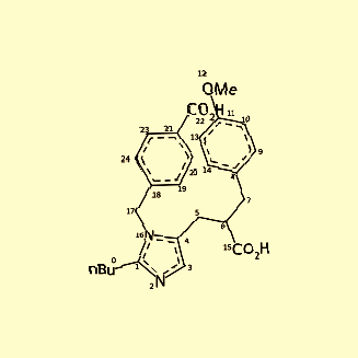 CCCCc1ncc(CC(Cc2ccc(OC)cc2)C(=O)O)n1Cc1ccc(C(=O)O)cc1